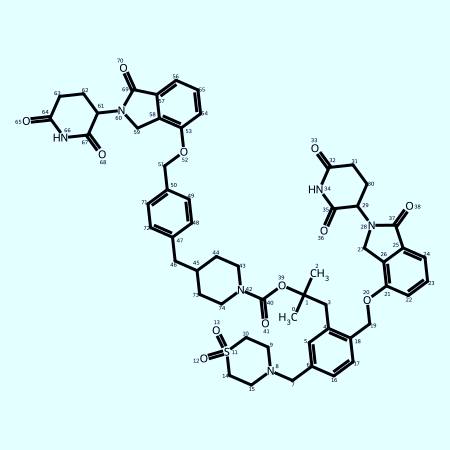 CC(C)(Cc1cc(CN2CCS(=O)(=O)CC2)ccc1COc1cccc2c1CN(C1CCC(=O)NC1=O)C2=O)OC(=O)N1CCC(Cc2ccc(COc3cccc4c3CN(C3CCC(=O)NC3=O)C4=O)cc2)CC1